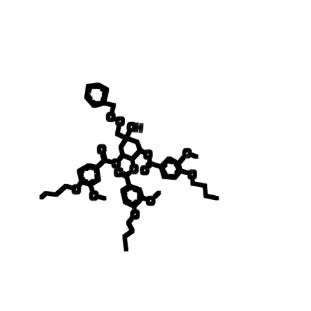 CCCCOc1ccc(C(=O)OC2CC(O)(COOCc3ccccc3)CC(OC(=O)c3ccc(OCCCC)c(OC)c3)C2OC(=O)c2ccc(OCCCC)c(OC)c2)cc1OC